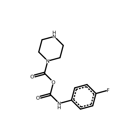 O=C(Nc1ccc(F)cc1)OC(=O)N1CCNCC1